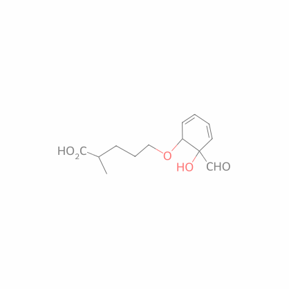 CC(CCCOC1C=CC=CC1(O)C=O)C(=O)O